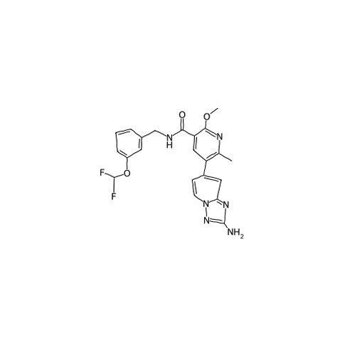 COc1nc(C)c(-c2ccn3nc(N)nc3c2)cc1C(=O)NCc1cccc(OC(F)F)c1